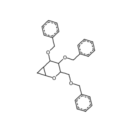 c1ccc(COCC2OC3CC3C(OCc3ccccc3)C2OCc2ccccc2)cc1